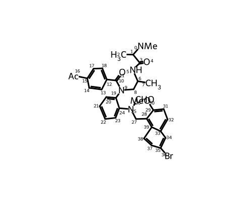 CNC(C)C(=O)NC(C)CN(C(=O)c1ccc(C(C)=O)cc1)c1ccccc1N(C=O)Cc1c(OC)ccc2cc(Br)ccc12